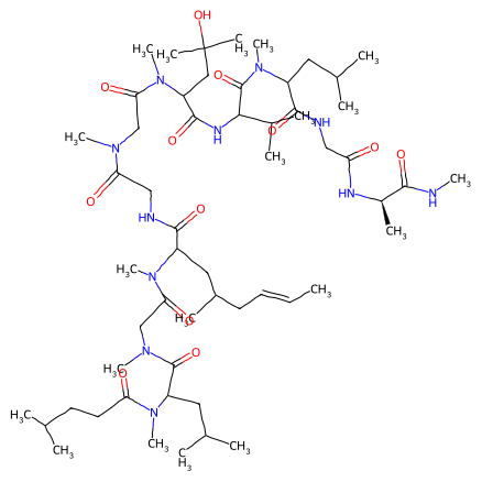 C/C=C/CC(C)CC(C(=O)NCC(=O)N(C)CC(=O)N(C)C(CC(C)(C)O)C(=O)NC(C(=O)N(C)C(CC(C)C)C(=O)NCC(=O)N[C@H](C)C(=O)NC)C(C)C)N(C)C(=O)CN(C)C(=O)C(CC(C)C)N(C)C(=O)CCC(C)C